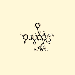 CCOP(=O)(CCN1n2cc(C(=O)NCc3ccc(F)cc3F)c(=O)c(OCc3ccccc3)c2C(=O)N(C)[C@]12CCOC2)OCC